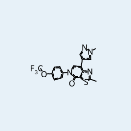 Cc1nc2c(-c3cnn(C)c3)cn(-c3ccc(OC(F)(F)F)cc3)c(=O)c2s1